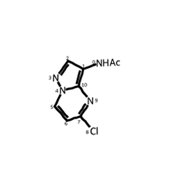 CC(=O)Nc1cnn2ccc(Cl)nc12